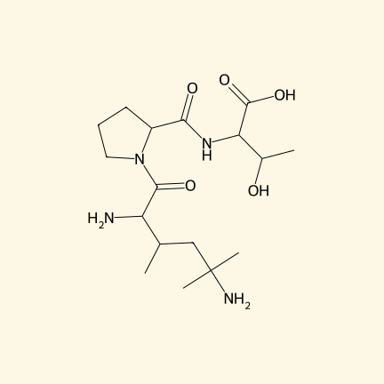 CC(O)C(NC(=O)C1CCCN1C(=O)C(N)C(C)CC(C)(C)N)C(=O)O